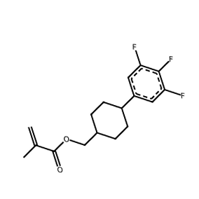 C=C(C)C(=O)OCC1CCC(c2cc(F)c(F)c(F)c2)CC1